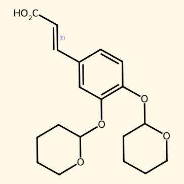 O=C(O)/C=C/c1ccc(OC2CCCCO2)c(OC2CCCCO2)c1